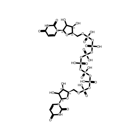 O=c1ccn([C@@H]2O[C@H](COP(=O)(O)OP(=O)(O)OP(=O)(O)OP(=O)(O)OP(=O)(O)OP(=O)(O)OP(=O)(O)OC[C@H]3O[C@@H](n4ccc(=O)[nH]c4=O)C(O)[C@H]3O)[C@H](O)C2O)c(=O)[nH]1